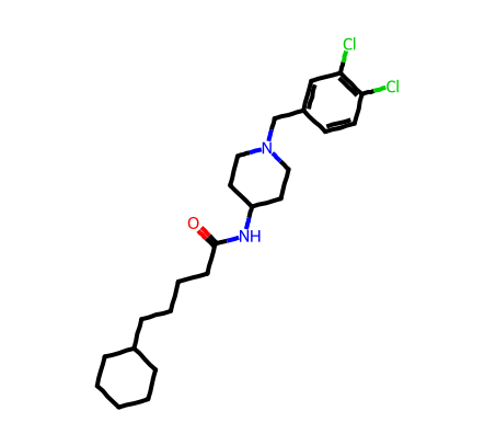 O=C(CCCCC1CCCCC1)NC1CCN(Cc2ccc(Cl)c(Cl)c2)CC1